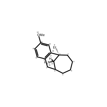 CC[C@@]12CCCCC(Cc3ccc(OC)cc31)[C@@H]2N